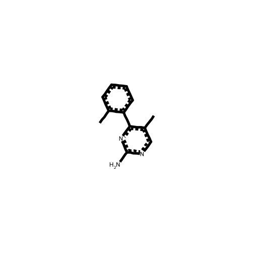 Cc1ccccc1-c1nc(N)ncc1C